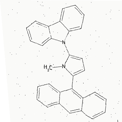 Cn1c(-c2c3ccccc3cc3ccccc23)ccc1-n1c2ccccc2c2ccccc21